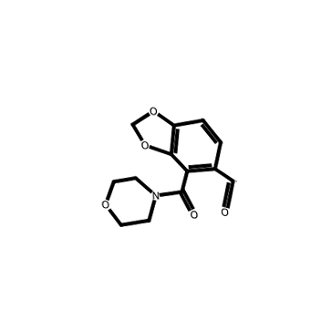 O=[C]c1ccc2c(c1C(=O)N1CCOCC1)OCO2